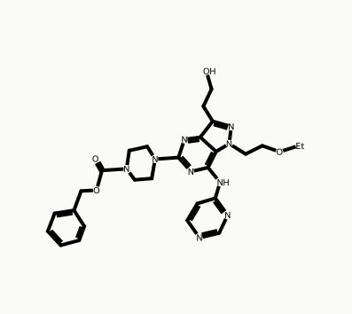 CCOCCn1nc(CCO)c2nc(N3CCN(C(=O)OCc4ccccc4)CC3)nc(Nc3ccncn3)c21